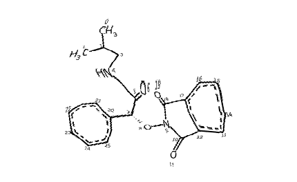 CC(C)CNC(=O)[C@H](ON1C(=O)c2ccccc2C1=O)c1ccccc1